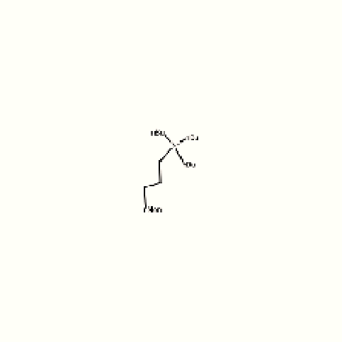 CCCCCCCCCCCC[N+](CCCC)(CCCC)CCCC